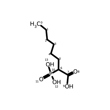 CCCCCCC(C(=O)O)P(=O)(O)O